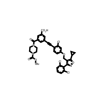 CC(C)(C)OC(=O)N1CCN(C(=O)c2cc(C#Cc3ccc(OCc4c(-c5c(Cl)cccc5Cl)noc4C4CC4)cc3Cl)cc(C(=O)O)c2)CC1